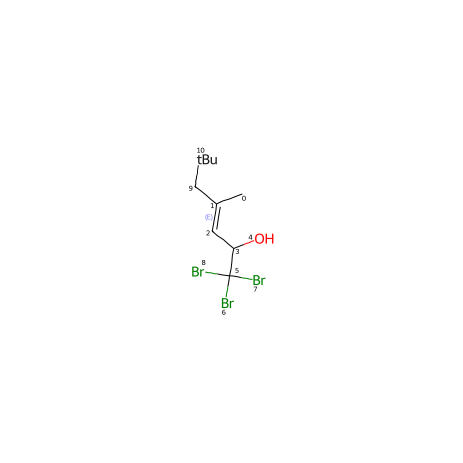 C/C(=C\C(O)C(Br)(Br)Br)CC(C)(C)C